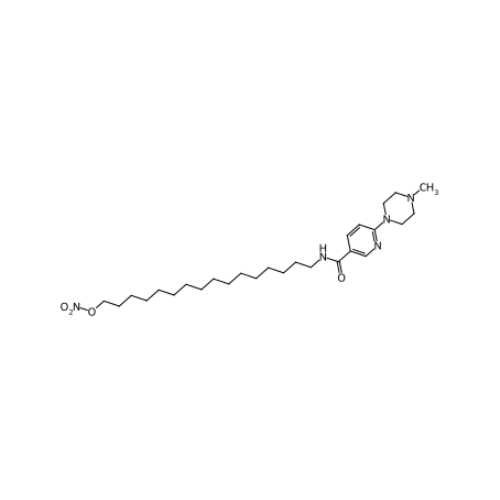 CN1CCN(c2ccc(C(=O)NCCCCCCCCCCCCCCCCO[N+](=O)[O-])cn2)CC1